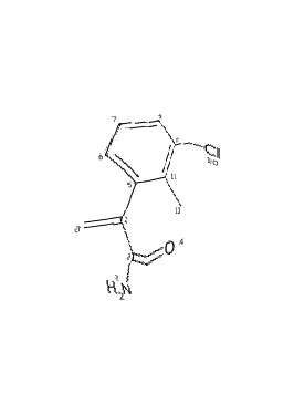 C=C(C(N)=O)c1cccc(Cl)c1C